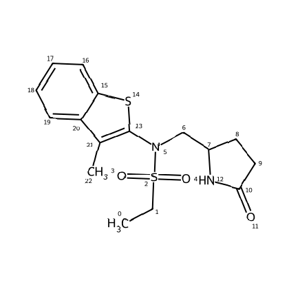 CCS(=O)(=O)N(CC1CCC(=O)N1)c1sc2ccccc2c1C